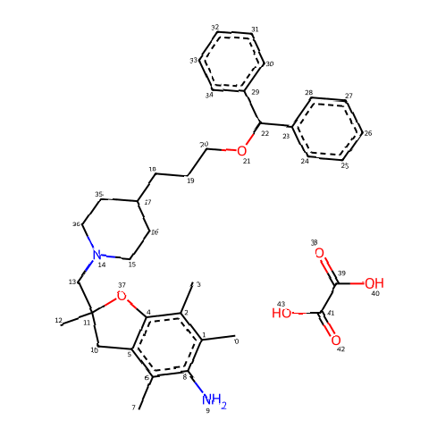 Cc1c(C)c2c(c(C)c1N)CC(C)(CN1CCC(CCCOC(c3ccccc3)c3ccccc3)CC1)O2.O=C(O)C(=O)O